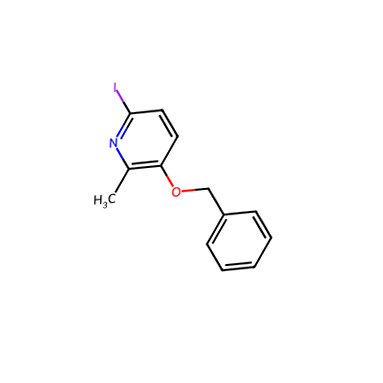 Cc1nc(I)ccc1OCc1ccccc1